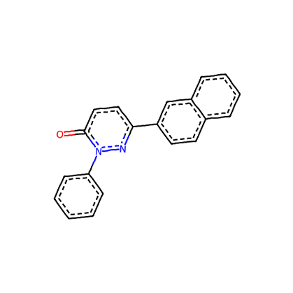 O=c1ccc(-c2ccc3ccccc3c2)nn1-c1ccccc1